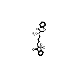 CN(CCCCN1C(=O)c2ccccc2S1(=O)=O)C1COc2ccccc2N1